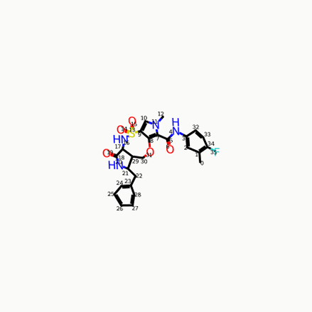 Cc1cc(NC(=O)c2c3c(cn2C)S(=O)(=O)NC2C(=O)NC(Cc4ccccc4)C2CO3)ccc1F